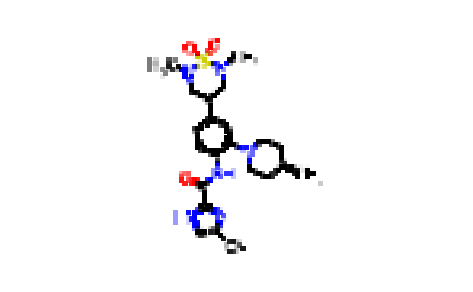 C=C1CCN(c2cc(C3CN(C)S(=O)(=O)N(C)C3)ccc2NC(=O)c2nc(C#N)c[nH]2)CC1